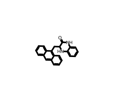 O=C1Nc2ccccc2NC1Cc1c2ccccc2cc2ccccc12